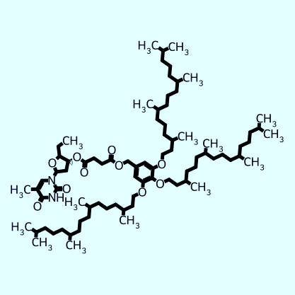 CCC1OC(n2cc(C)c(=O)[nH]c2=O)C[C@H]1OC(=O)CCC(=O)OCc1cc(OCCC(C)CCCC(C)CCCC(C)CCCC(C)C)c(OCCC(C)CCCC(C)CCCC(C)CCCC(C)C)c(OCCC(C)CCCC(C)CCCC(C)CCCC(C)C)c1